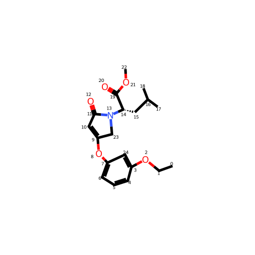 CCOc1cccc(OC2=CC(=O)N([C@@H](CC(C)C)C(=O)OC)C2)c1